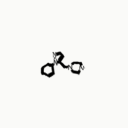 c1ccc(-n2nccc2CN2CC[N]CC2)cc1